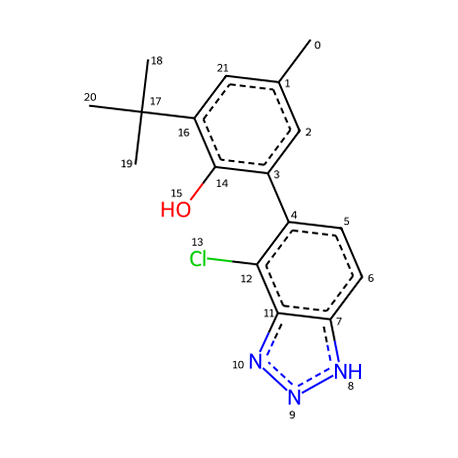 Cc1cc(-c2ccc3[nH]nnc3c2Cl)c(O)c(C(C)(C)C)c1